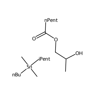 CCCCCC(=O)OCC(C)O.CCC[CH2][Sn]([CH3])([CH3])[CH](C)CCC